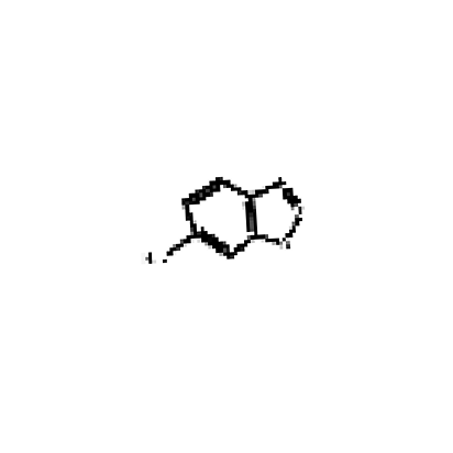 Nc1ccc2nnoc2c1